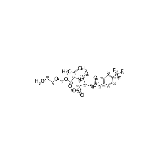 C=C(C)C(C(=O)OCOCCC)N1C(=O)C(NC(=O)Cc2ccc(C(F)(F)F)cc2)C1[S+]([O-])Cl